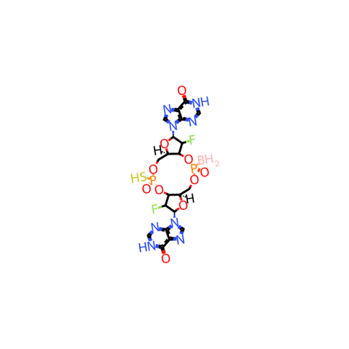 BP1(=O)OC[C@H]2O[C@@H](n3cnc4c(=O)[nH]cnc43)C(F)C2OP(=O)(S)OC[C@H]2O[C@@H](n3cnc4c(=O)[nH]cnc43)C(F)C2O1